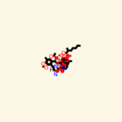 CCCCCC(C)C(=O)Oc1cc2c(cc1OC)[C@@]1(CS[C@@H]3c4c(OC(C)=O)c(C)c5c(c4[C@H](COC1=O)N1C3[C@@H]3c4c(cc(C)c(OC)c4O)C[C@@H]([C@@H]1C#N)N3C)OCO5)NCC2